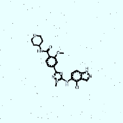 COc1cc(-c2nc(Nc3ccc4[nH]ncc4c3Cl)n(C)n2)ccc1C(=O)NC1CCOCC1